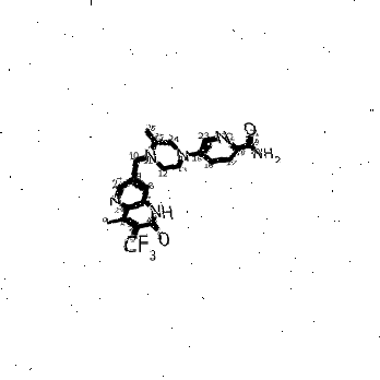 Cc1c(C(F)(F)F)c(=O)[nH]c2cc(CN3CCN(c4ccc(C(N)=O)nc4)CC3C)cnc12